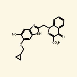 N#Cc1cc2nc(Cn3nc(C(=O)O)c(=O)c4ccccc43)[nH]c2cc1OCC1CC1